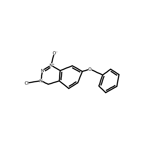 [O-][N+]1=NN(Cl)Cc2ccc(Oc3ccccc3)cc21